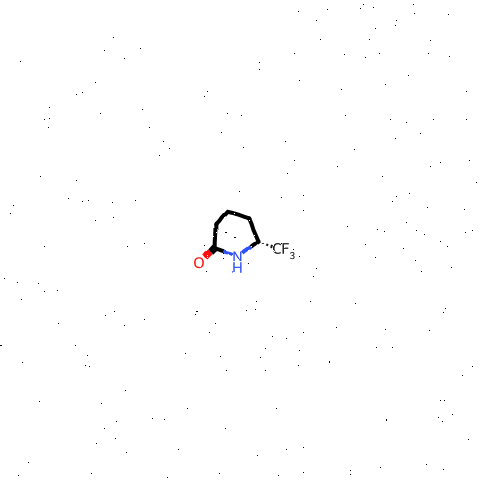 O=C1CCC[C@H](C(F)(F)F)N1